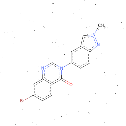 Cn1cc2cc(-n3cnc4cc(Br)ccc4c3=O)ccc2n1